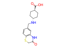 O=C1CSc2ccc(CN[C@H]3CC[C@H](C(=O)O)CC3)cc2N1